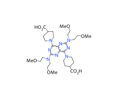 COCCN(CCOC)c1nc(N2CCC(C(=O)O)CC2)c2nc(N(CCOC)CCOC)nc(N3CCC(C(=O)O)CC3)c2n1